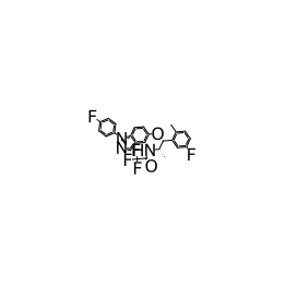 Cc1ccc(F)cc1[C@@H](Oc1ccc2c(cnn2-c2ccc(F)cc2)c1)[C@H](C)NC(=O)C(F)(F)F